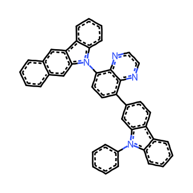 c1ccc(-n2c3ccccc3c3ccc(-c4ccc(-n5c6ccccc6c6cc7ccccc7cc65)c5nccnc45)cc32)cc1